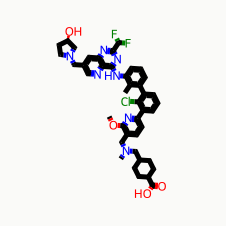 COc1nc(-c2cccc(-c3cccc(Nc4nc(C(F)F)nc5cc(CN6CC[C@@H](O)C6)cnc45)c3C)c2Cl)ccc1CN(C)CC1CCC(C(=O)O)CC1